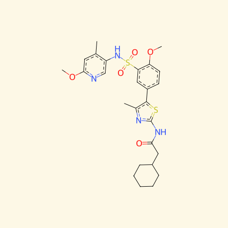 COc1cc(C)c(NS(=O)(=O)c2cc(-c3sc(NC(=O)CC4CCCCC4)nc3C)ccc2OC)cn1